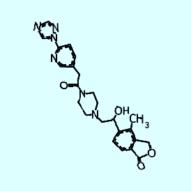 Cc1c(C(O)CN2CCN(C(=O)Cc3ccc(-n4cncn4)nc3)CC2)ccc2c1COC2=O